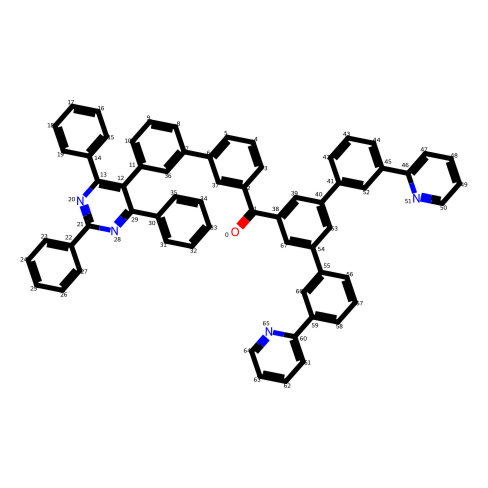 O=C(c1cccc(-c2cccc(-c3c(-c4ccccc4)nc(-c4ccccc4)nc3-c3ccccc3)c2)c1)c1cc(-c2cccc(-c3ccccn3)c2)cc(-c2cccc(-c3ccccn3)c2)c1